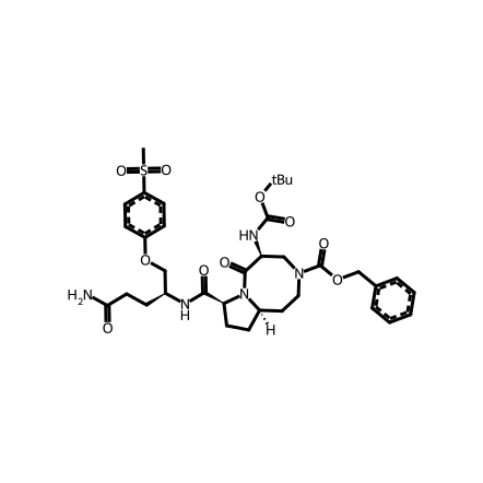 CC(C)(C)OC(=O)N[C@H]1CN(C(=O)OCc2ccccc2)CC[C@H]2CC[C@@H](C(=O)N[C@@H](CCC(N)=O)COc3ccc(S(C)(=O)=O)cc3)N2C1=O